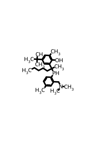 CCCCCC(C)(Pc1ccc(C)cc1CN(C)C)c1cc(C(C)(C)C)cc(C)c1O